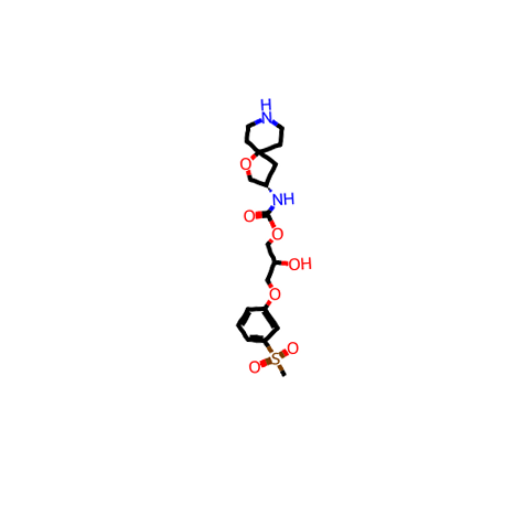 CS(=O)(=O)c1cccc(OCC(O)COC(=O)N[C@@H]2COC3(CCNCC3)C2)c1